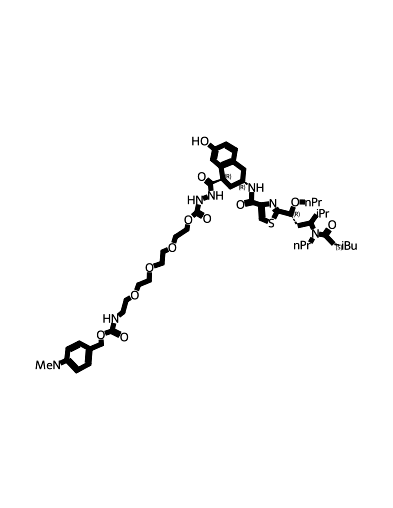 CCCO[C@H](CC(C(C)C)N(CCC)C(=O)C[C@@H](C)CC)c1nc(C(=O)N[C@H]2Cc3ccc(O)cc3[C@H](C(=O)NNC(=O)OCCOCCOCCOCCNC(=O)OCc3ccc(NC)cc3)C2)cs1